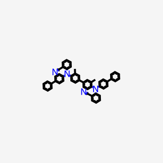 Cc1cc(-c2ccc(N(c3ccc(-c4ccccc4)cc3)c3ccccc3C#N)c(C)c2)ccc1N(c1ccc(-c2ccccc2)cc1)c1ccccc1C#N